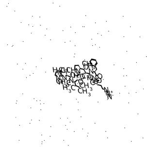 CC[C@H](C)[C@@H]([C@H](CC(=O)N1CCC[C@H]1[C@H](OC)[C@@H](C)C(=O)N[C@@H](Cc1ccccc1)C(=O)NS(=O)(=O)CCCN=[N+]=[N-])OC)N(C)C(=O)[C@@H](N=C1N(C)CCN1C)C(C)C